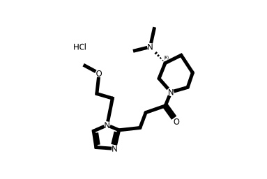 COCCn1ccnc1CCC(=O)N1CCC[C@@H](N(C)C)C1.Cl